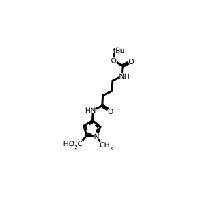 Cn1cc(NC(=O)CCCNC(=O)OC(C)(C)C)cc1C(=O)O